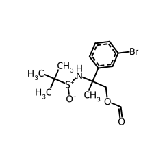 CC(COC=O)(N[S+]([O-])C(C)(C)C)c1cccc(Br)c1